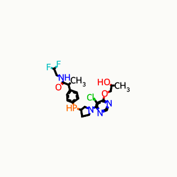 CC(O)COc1ncnc(N2CCC(Pc3ccc(C(C)C(=O)NCC(F)F)cc3)C2)c1Cl